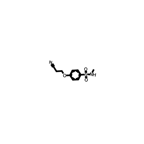 CNS(=O)(=O)c1ccc(OCCC#N)cc1